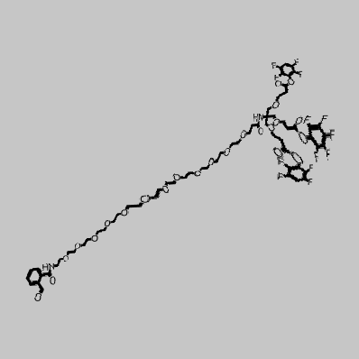 O=Cc1ccccc1C(=O)NCCOCCOCCOCCOCCOCCOCCOCCOCCOCCOCCOCCOCCC(=O)NC(COCCC(=O)Oc1c(F)c(F)cc(F)c1F)(COCCC(=O)Oc1c(F)c(F)cc(F)c1F)COCCC(=O)Oc1c(F)c(F)c(F)c(F)c1F